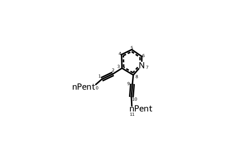 CCCCCC#Cc1cccnc1C#CCCCCC